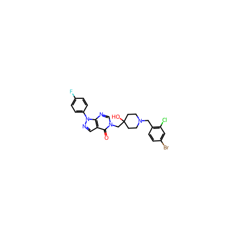 O=c1c2cnn(-c3ccc(F)cc3)c2ncn1CC1(O)CCN(Cc2ccc(Br)cc2Cl)CC1